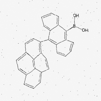 OB(O)c1c2ccccc2c(-c2ccc3ccc4cccc5ccc2c3c45)c2ccccc12